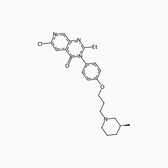 CCc1nc2cnc(Cl)cc2c(=O)n1-c1ccc(OCCCN2CCC[C@H](C)C2)cc1